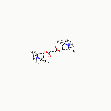 CC1(C)CC(OC(=O)CCC(=O)OC2CC(C)(C)NC(C)(C)C2)CC(C)(C)N1